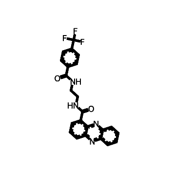 O=C(NCCNC(=O)c1cccc2nc3ccccc3nc12)c1ccc(C(F)(F)F)cc1